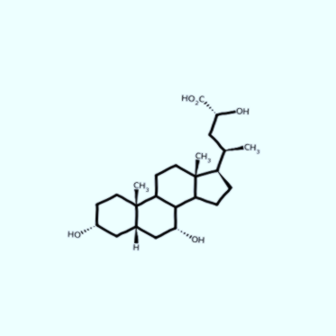 C[C@H](C[C@@H](O)C(=O)O)[C@H]1CCC2C3C(CC[C@@]21C)[C@@]1(C)CC[C@@H](O)C[C@H]1C[C@H]3O